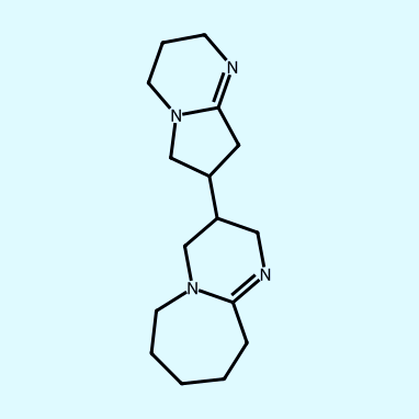 C1CCC2=NCC(C3CC4=NCCCN4C3)CN2CC1